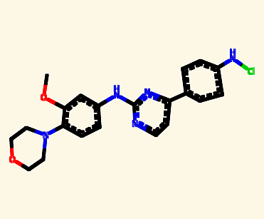 COc1cc(Nc2nccc(-c3ccc(NCl)cc3)n2)ccc1N1CCOCC1